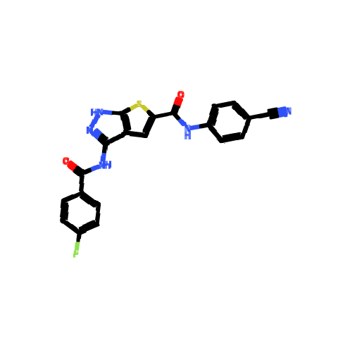 N#Cc1ccc(NC(=O)c2cc3c(NC(=O)c4ccc(F)cc4)n[nH]c3s2)cc1